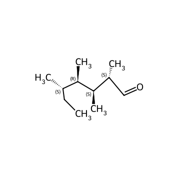 CC[C@H](C)[C@@H](C)[C@H](C)[C@H](C)C=O